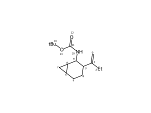 C=C(CC)C1CCC2CC2C1NC(=O)OC(C)(C)C